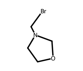 BrCN1CCOC1